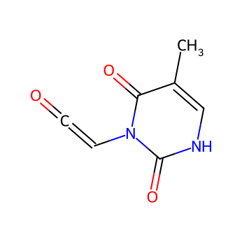 Cc1c[nH]c(=O)n(C=C=O)c1=O